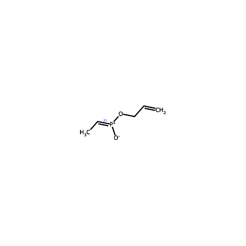 C=CCO/[P+]([O-])=C/C